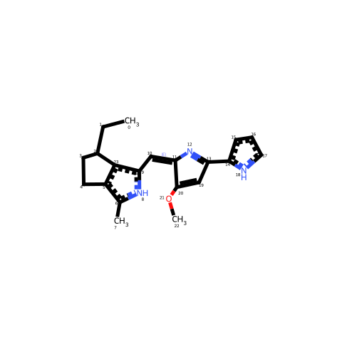 CCC1CCc2c(C)[nH]c(/C=C3/N=C(c4ccc[nH]4)C=C3OC)c21